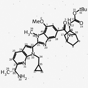 COc1cc(C(=O)N2C3CCC2[C@H](NC(=O)OC(C)(C)C)C3)cc2nc(-c3cc4ccc([C@@H](C)N)nc4n3CC3CC3)n(C)c12